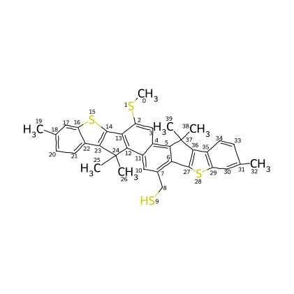 CSc1cc2c3c(c(CS)cc2c2c1-c1sc4cc(C)ccc4c1C2(C)C)-c1sc2cc(C)ccc2c1C3(C)C